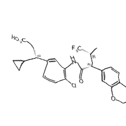 C[C@H]([C@@H](C(=O)Nc1cc([C@@H](CC(=O)O)C2CC2)ccc1Cl)c1ccc2c(c1)OCCO2)C(F)(F)F